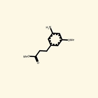 COC(=O)CCc1cc(N)cc(OC)c1